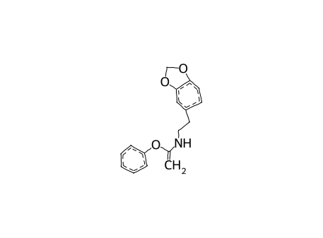 C=C(NCCc1ccc2c(c1)OCO2)Oc1ccccc1